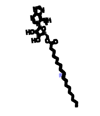 CCCCCCCC/C=C/CCCCCCCC(=O)OC[C@H]1O[C@@H](n2cnc3ncnc-3c2NC)[C@@H](O)[C@@H]1O